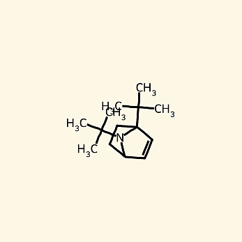 CC(C)(C)N1C2C=CC1(C(C)(C)C)CC2